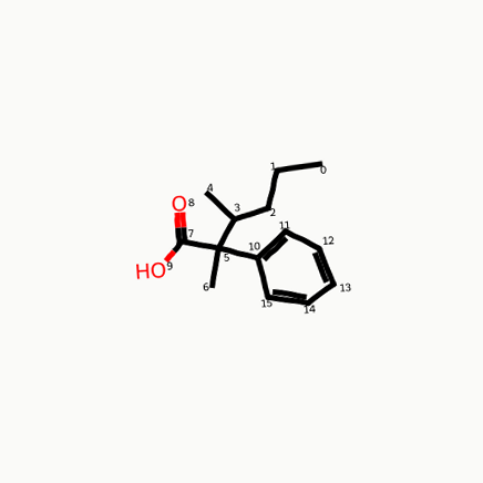 CCCC(C)C(C)(C(=O)O)c1ccccc1